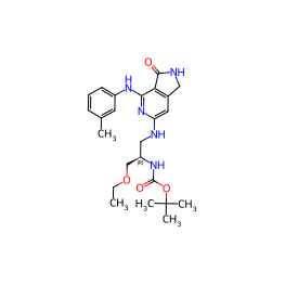 CCOC[C@@H](CNc1cc2c(c(Nc3cccc(C)c3)n1)C(=O)NC2)NC(=O)OC(C)(C)C